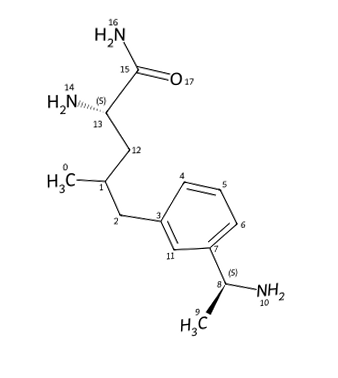 CC(Cc1cccc([C@H](C)N)c1)C[C@H](N)C(N)=O